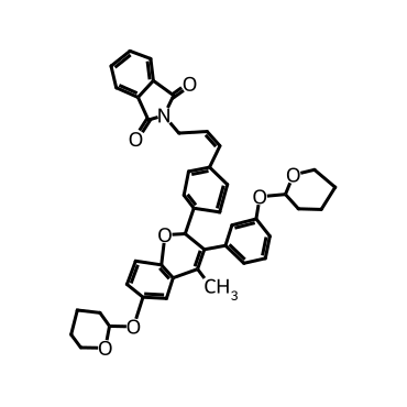 CC1=C(c2cccc(OC3CCCCO3)c2)C(c2ccc(/C=C\CN3C(=O)c4ccccc4C3=O)cc2)Oc2ccc(OC3CCCCO3)cc21